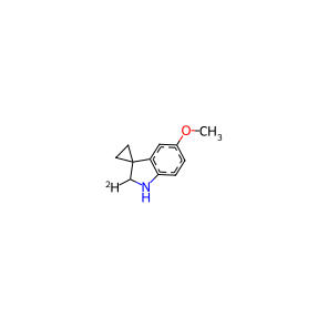 [2H]C1Nc2ccc(OC)cc2C12CC2